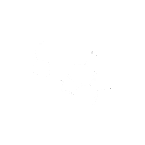 Nc1nc(C(=O)O)c2ncn(C3C=CC(CO)C3)c2n1